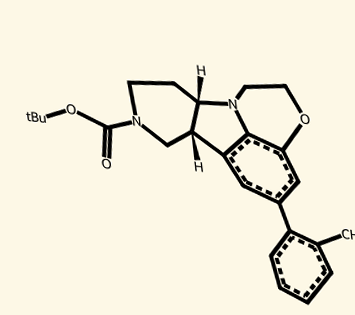 CC(C)(C)OC(=O)N1CC[C@H]2[C@@H](C1)c1cc(-c3ccccc3C=O)cc3c1N2CCO3